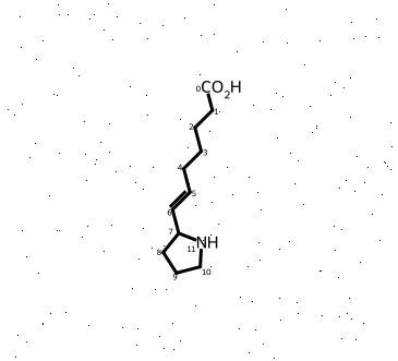 O=C(O)CCCCC=CC1CCCN1